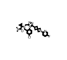 CN(C)C(=O)C1(N2Cc3cc(Cl)ccc3-n3c(nnc3C3CC4(C3)CN(c3ccc(F)cn3)C4)C2)CC1